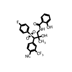 CC(O)(CNC(=O)c1ccccc1O)C(c1ccc(C#N)c(C(F)(F)F)c1)S(=O)(=O)c1ccc(F)cc1